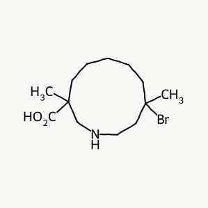 CC1(Br)CCCCCC(C)(C(=O)O)CNCC1